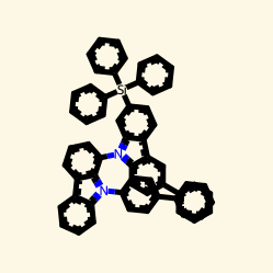 c1ccc(-c2ccc(-n3c4ccccc4c4cccc(-n5c6ccc(-c7ccccc7)cc6c6ccc([Si](c7ccccc7)(c7ccccc7)c7ccccc7)cc65)c43)cc2)cc1